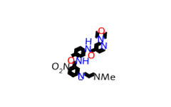 CNCCCN(C)c1ccc([N+](=O)[O-])c(C(=O)Nc2cc(NC(=O)c3ccnc(N4CCOCC4)c3)ccc2C)c1